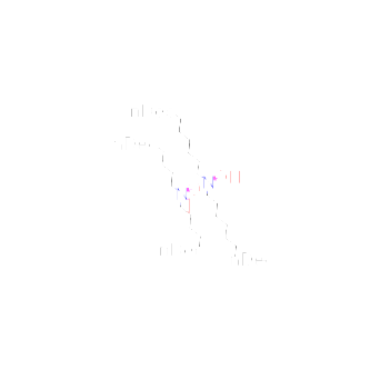 CCCCCCCCCCCCCCCCN(O)CCCCCCCCCCCCCCCC.CCCCCCCCCCCCCCN(O)CCCCCCCCCCCCCC